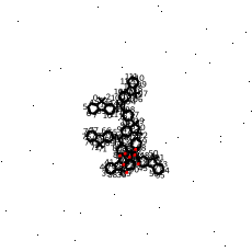 CC1(C)c2ccccc2-c2ccc(N(c3ccc(C4(C)CC(C)(c5ccc(N(c6ccc7c(c6)C(C)(C)c6ccccc6-7)c6ccc7c(c6)C(C)(C)c6ccccc6-7)cc5)c5cc(N(c6ccc7c(c6)C(C)(C)c6ccccc6-7)c6ccc7c(c6)C(C)(C)c6ccccc6-7)ccc54)cc3)c3ccc4c(c3)C(C)(C)c3ccccc3-4)cc21